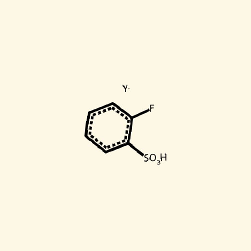 O=S(=O)(O)c1ccccc1F.[Y]